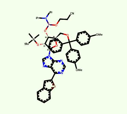 COc1ccc(C(OC[C@H]2O[C@@H](n3cnc4c(-c5cc6ccccc6s5)ncnc43)[C@H](O[Si](C)(C)C(C)(C)C)[C@@H]2OP(OCCC#N)N(C(C)C)C(C)C)(c2ccccc2)c2ccc(OC)cc2)cc1